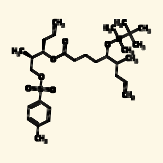 C=CCC(C)C(CCCC(=O)O[C@H](CC=C)[C@H](C)COS(=O)(=O)c1ccc(C)cc1)O[Si](C)(C)C(C)(C)C